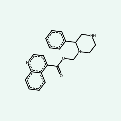 O=C(OCN1CCNCC1c1ccccc1)c1ccnc2ccccc12